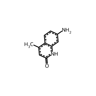 Cc1cc(=O)[nH]c2cc(N)ccc12